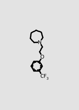 FC(F)(F)c1cccc(OCCN2CCCCCC2)c1